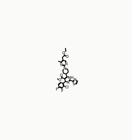 CCOC(=O)Cc1cnc(N2CCC(C3=C(C(=O)OC)C(c4ccc(F)c(F)c4Cl)N=C(c4nccs4)N3)CC2)nc1C